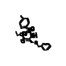 CCOC(=O)[C@H](CSCc1ccccc1)NS(=O)(=O)c1ccc(C)cc1